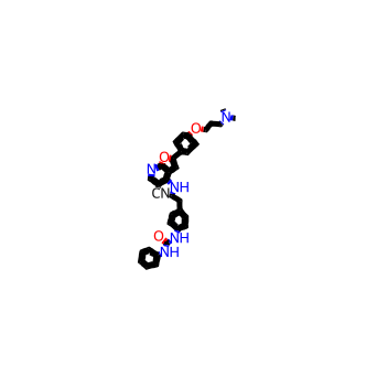 CN(C)CCCOc1ccc(-c2cc3c(NCCc4ccc(NC(=O)Nc5ccccc5)cc4)c(C#N)cnc3o2)cc1